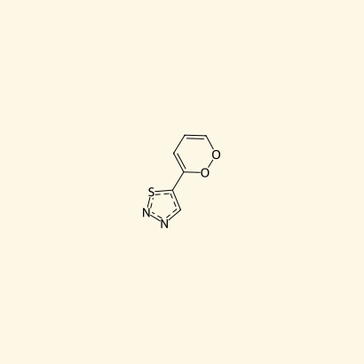 C1=COOC(c2cnns2)=C1